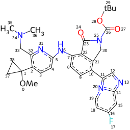 COC1(c2ccc(Nc3ccc(-c4cnc5cc(F)ccn45)c4c3C(=O)N(C(=O)OC(C)(C)C)C4)nc2CN(C)C)CC1